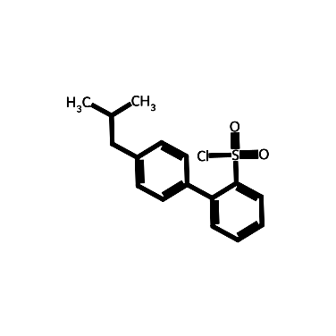 CC(C)Cc1ccc(-c2ccccc2S(=O)(=O)Cl)cc1